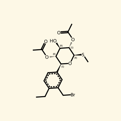 CCc1ccc([C@@H]2O[C@H](SC)[C@@H](OC(C)=O)[C@H](O)[C@H]2OC(C)=O)cc1CBr